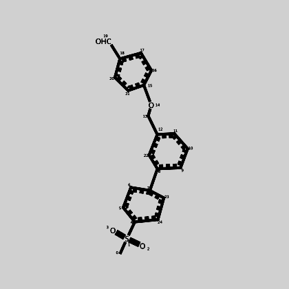 CS(=O)(=O)c1ccc(-c2cccc(COc3ccc(C=O)cc3)c2)cc1